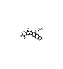 O=C1OCc2c(cc3n(c2=O)Cc2c-3nc3cc4c(cc3c2CCCCl)OCO4)C1O